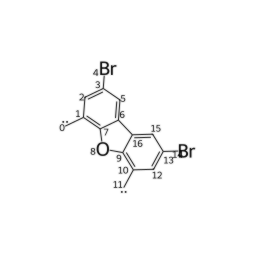 [CH]c1cc(Br)cc2c1oc1c([CH])cc(Br)cc12